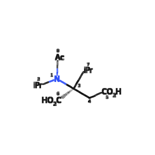 CC(=O)N(C(C)C)[C@@](CC(=O)O)(C(=O)O)C(C)C